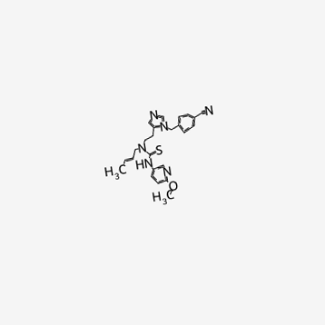 CC=CCN(CCc1cncn1Cc1ccc(C#N)cc1)C(=S)Nc1ccc(OC)nc1